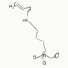 C=CNCC[CH2][Sn]([Cl])([Cl])[Cl]